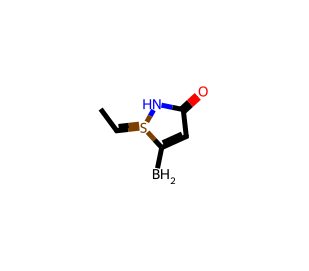 BC1=CC(=O)N/S1=C\C